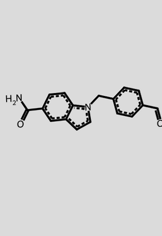 NC(=O)c1ccc2c(ccn2Cc2ccc(C=O)cc2)c1